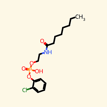 CCCCCCCC(=O)NCCOP(=O)(O)Oc1ccccc1Cl